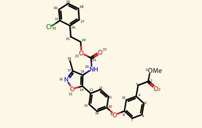 COC(=O)Cc1cccc(Oc2ccc(-c3onc(C)c3NC(=O)OCCc3ccccc3Cl)cc2)c1